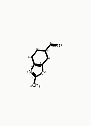 Cc1nc2c(o1)CC(C=O)CC2